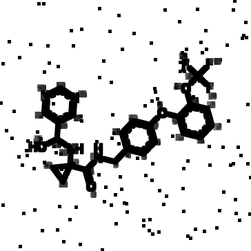 O=C(NCc1ccc(Oc2ccccc2OC(F)(F)F)cc1)C1(NC(O)c2cncnc2)CC1